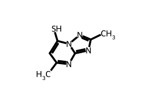 Cc1cc(S)n2nc(C)nc2n1